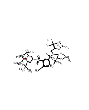 C[SiH](C)OC(CN(CC(O[SiH](C)C)C(C)(C)C)S(=O)(=O)c1cc[c]([BiH2])c(S(=O)(=O)N(CC(O[SiH](C)C)C(C)(C)C)CC(O[SiH](C)C)C(C)(C)C)c1)C(C)(C)C